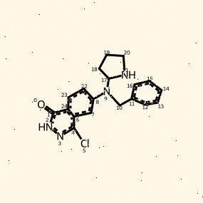 O=c1[nH]nc(Cl)c2cc(N(Cc3ccccc3)C3CCCN3)ccc12